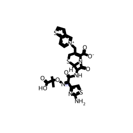 CC(C)(O/N=C(\C(=O)NC1C(=O)N2C(C(=O)[O-])=C(C[n+]3ccc4sccc4c3)CS[C@H]12)c1csc(N)n1)C(=O)O